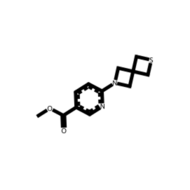 COC(=O)c1ccc(N2CC3(CSC3)C2)nc1